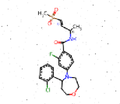 C[C@H](/C=C/S(C)(=O)=O)NC(=O)c1ccc(N2CCOCCC2c2ccccc2Cl)cc1F